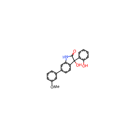 COc1cccc(-c2ccc3c(c2)NC(=O)C3(O)c2ccccc2O)c1